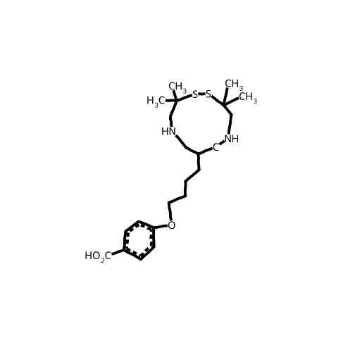 CC1(C)CNCC(CCCCOc2ccc(C(=O)O)cc2)CNCC(C)(C)SS1